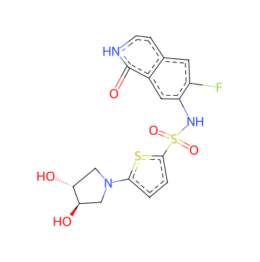 O=c1[nH]ccc2cc(F)c(NS(=O)(=O)c3ccc(N4C[C@@H](O)[C@H](O)C4)s3)cc12